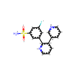 NS(=O)(=O)c1cc(F)cc(-c2ncccc2-c2cccnc2)c1